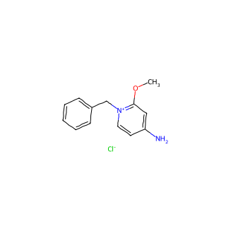 COc1cc(N)cc[n+]1Cc1ccccc1.[Cl-]